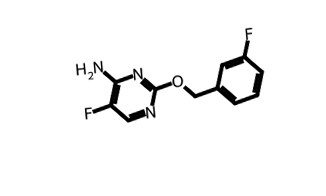 Nc1nc(OCc2cccc(F)c2)ncc1F